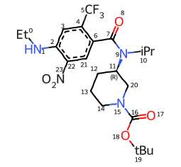 CCNc1cc(C(F)(F)F)c(C(=O)N(C(C)C)[C@@H]2CCCN(C(=O)OC(C)(C)C)C2)cc1[N+](=O)[O-]